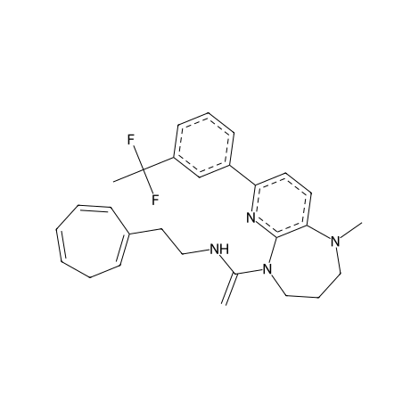 C=C(NCCC1=CCC=CC=C1)N1CCCN(C)c2ccc(-c3cccc(C(C)(F)F)c3)nc21